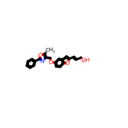 Cc1oc(-c2ccccc2)nc1COc1ccc2oc(C=CCO)cc2c1